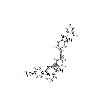 CC(=O)N1CCC[C@H]1c1nc2ccc(C#Cc3ccc4[nH]c([C@@H]5CCCN5C(=O)N5CCN(C)CC5)nc4c3)cc2[nH]1